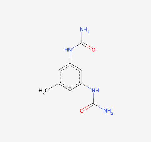 [CH2]c1cc(NC(N)=O)cc(NC(N)=O)c1